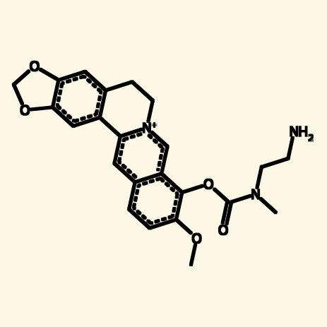 COc1ccc2cc3[n+](cc2c1OC(=O)N(C)CCN)CCc1cc2c(cc1-3)OCO2